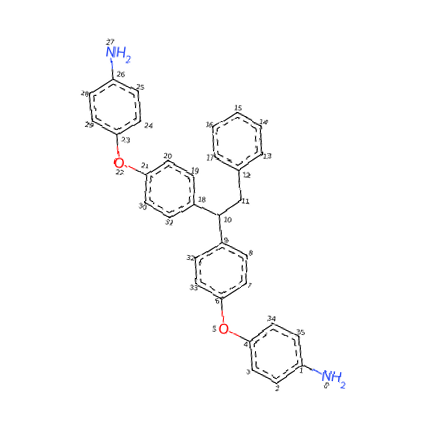 Nc1ccc(Oc2ccc(C(Cc3ccccc3)c3ccc(Oc4ccc(N)cc4)cc3)cc2)cc1